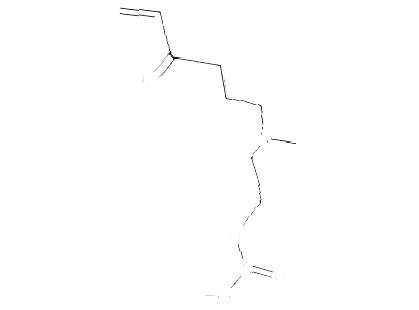 C=CC(=O)CCCN(C)CCOS(=O)O